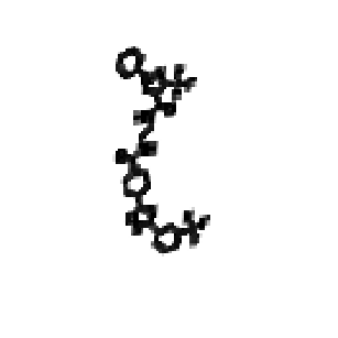 O=C(NCCNC(=O)N1CCC(c2nc(-c3cccc(C(F)(F)F)c3)no2)CC1)c1cn(-c2ccccc2)nc1C(F)(F)F